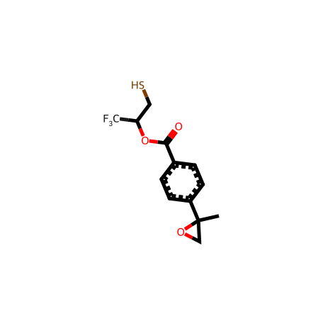 CC1(c2ccc(C(=O)OC(CS)C(F)(F)F)cc2)CO1